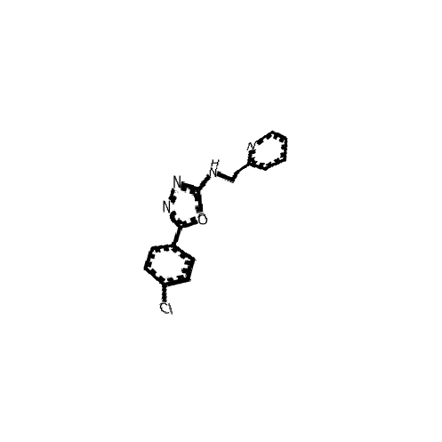 Clc1ccc(-c2nnc(NCc3ccccn3)o2)cc1